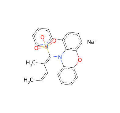 C/C=C\C(C)=C(/N1c2ccccc2Oc2cccc(-c3ccccn3)c21)S(=O)(=O)[O-].[Na+]